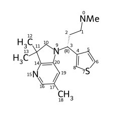 CNCC[C@H](c1ccsc1)N1CC(C)(C)c2ncc(C)cc21